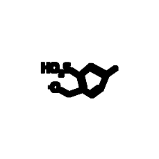 Cc1ccc(C[O])c(S(=O)(=O)O)c1